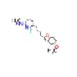 CNC1=NC(F)=C(CC/C=C/c2cc3cc(OC)ccc3o2)C=CC1